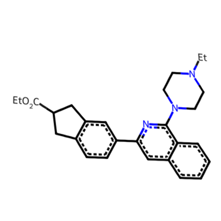 CCOC(=O)C1Cc2ccc(-c3cc4ccccc4c(N4CCN(CC)CC4)n3)cc2C1